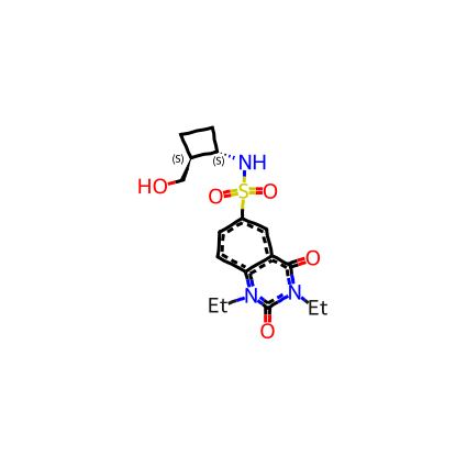 CCn1c(=O)c2cc(S(=O)(=O)N[C@H]3CC[C@@H]3CO)ccc2n(CC)c1=O